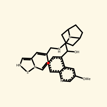 COc1cnc2cccc(C(O)CN3C4CCC3CC(NCC3=CC5=CNSN5C=C3)C4)c2c1